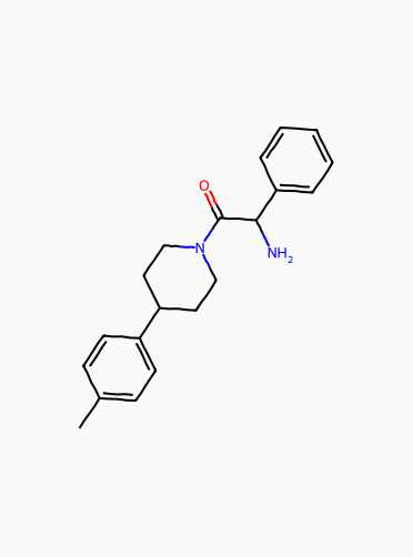 Cc1ccc(C2CCN(C(=O)C(N)c3ccccc3)CC2)cc1